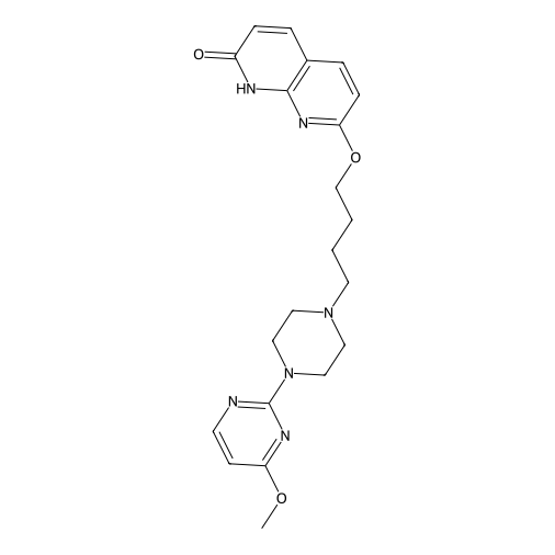 COc1ccnc(N2CCN(CCCCOc3ccc4ccc(=O)[nH]c4n3)CC2)n1